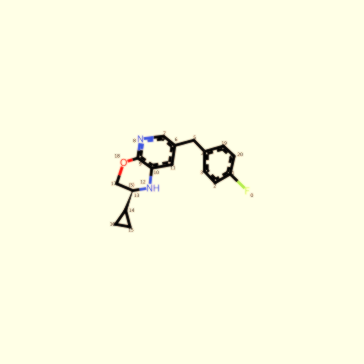 Fc1ccc(Cc2cnc3c(c2)N[C@@H](C2CC2)CO3)cc1